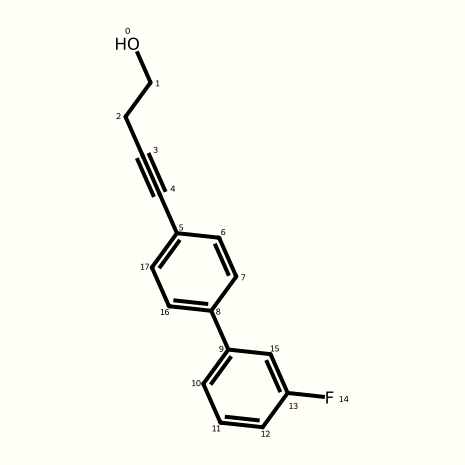 OCCC#Cc1ccc(-c2cccc(F)c2)cc1